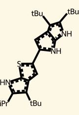 CC(C)c1[nH]c2sc(-c3cc4c(C(C)(C)C)c(C(C)(C)C)[nH]c4[nH]3)cc2c1C(C)(C)C